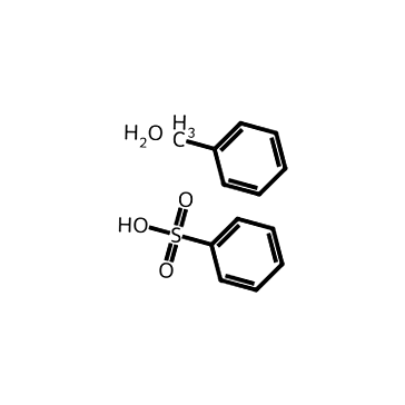 Cc1ccccc1.O.O=S(=O)(O)c1ccccc1